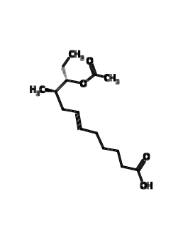 CC[C@H](OC(C)=O)[C@H](C)C/C=C/CCCCC(=O)O